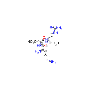 N=C(N)NCCC[C@H](NC(=O)[C@H](CC(=O)O)NC(=O)[C@@H](N)CCCCN)C(=O)O